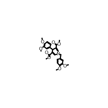 COC(=O)C1=CN(Cc2ccc(OC)c(OC)c2)C=C(C(=O)OC)C1c1ccc(OC)c(OC)c1